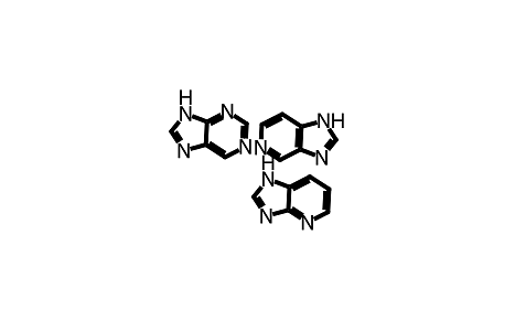 c1cc2[nH]cnc2cn1.c1cnc2nc[nH]c2c1.c1ncc2nc[nH]c2n1